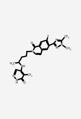 CC(CCCn1ccc2cc(-c3nc(C(F)(F)F)n(C)n3)c(F)cc2c1=O)Nc1cn[nH]c(=O)c1C(F)(F)F